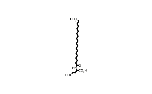 O=CCCC(NC(=O)CCCCCCCCCCCCCCCCCCC(=O)O)C(=O)O